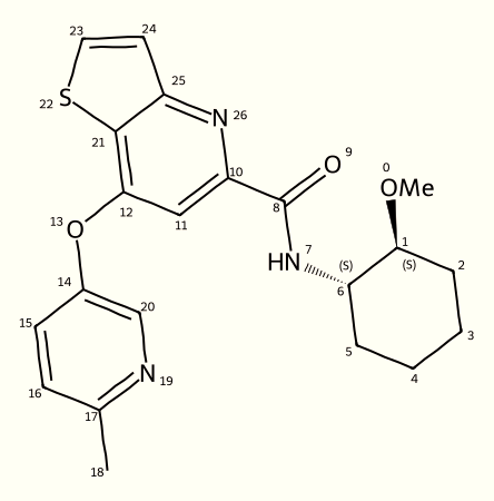 CO[C@H]1CCCC[C@@H]1NC(=O)c1cc(Oc2ccc(C)nc2)c2sccc2n1